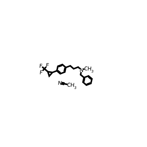 CC#N.CN(CCCc1ccc(C2CC2C(F)(F)F)cc1)Cc1ccccc1